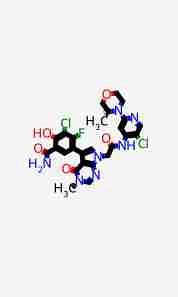 C[C@H]1COCCN1c1cc(NC(=O)Cn2cc(-c3cc(C(N)=O)c(O)c(Cl)c3F)c3c(=O)n(C)cnc32)c(Cl)cn1